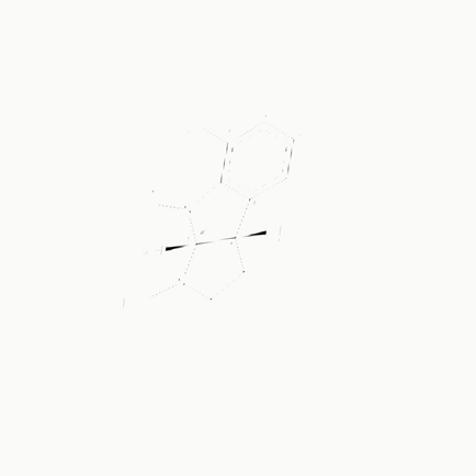 CN1CC[C@@]2(C)c3c[c]cc(Br)c3N(C)[C@@H]12